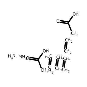 C=C.C=C.C=C.C=C.CC(=O)O.CC(=O)O.N.N